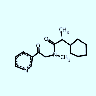 C[C@H](C(=O)N(C)CC(=O)c1cccnc1)C1CCCCC1